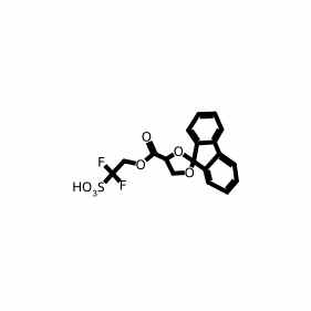 O=C(OCC(F)(F)S(=O)(=O)O)C1COC2(O1)c1ccccc1-c1ccccc12